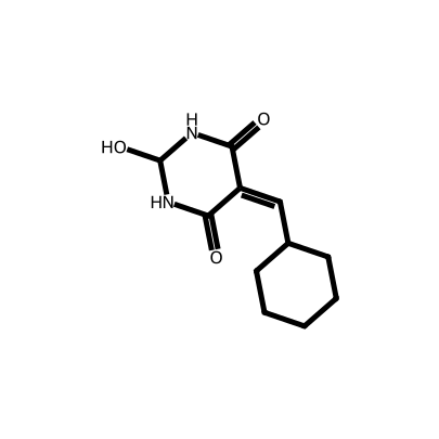 O=C1NC(O)NC(=O)C1=CC1CCCCC1